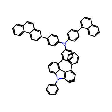 c1cc(-c2ccccc2)c2c3c(-c4cccc(N(c5ccc(-c6ccc7c(ccc8ccccc87)c6)cc5)c5ccc(-c6cccc7ccccc67)cc5)c4)cccc3n(-c3ccccc3)c2c#1